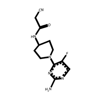 N#CCC(=O)NC1CCN(c2nc(N)ncc2F)CC1